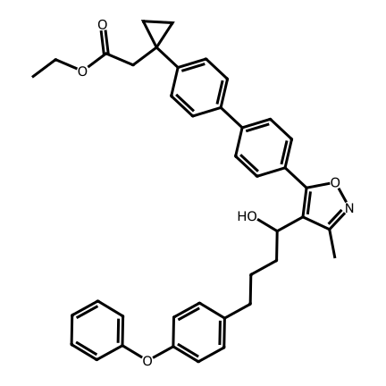 CCOC(=O)CC1(c2ccc(-c3ccc(-c4onc(C)c4C(O)CCCc4ccc(Oc5ccccc5)cc4)cc3)cc2)CC1